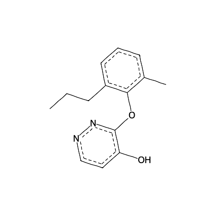 CCCc1cccc(C)c1Oc1nnccc1O